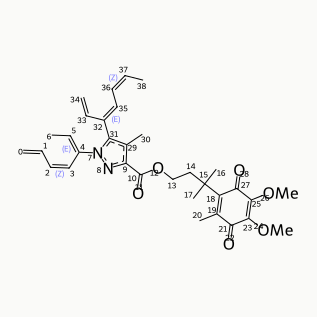 C=C/C=C\C(=C/C)n1nc(C(=O)OCCC(C)(C)C2=C(C)C(=O)C(OC)=C(OC)C2=O)c(C)c1/C(C=C)=C/C=C\C